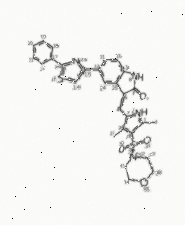 Cc1[nH]c(/C=C2\C(=O)Nc3ccc(-c4csc(-c5ccccc5)n4)cc32)c(C)c1S(=O)(=O)N1CCOCC1